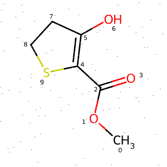 COC(=O)C1=C(O)CCS1